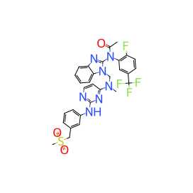 CC(=O)N(c1cc(C(F)(F)F)ccc1F)c1nc2ccccc2n1CN(C)c1ccnc(Nc2cccc(CS(C)(=O)=O)c2)n1